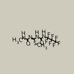 CNC(=O)N=C(NC(=O)NC(F)(F)C(F)(F)C(F)(F)F)SC